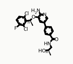 C[C@H](Oc1cc(-c2ccc(C(=O)NC[C@@H](C)O)cc2)cnc1N)c1c(Cl)ccc(F)c1Cl